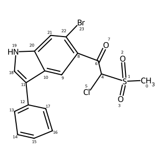 CS(=O)(=O)C(Cl)C(=O)c1cc2c(-c3ccccc3)c[nH]c2cc1Br